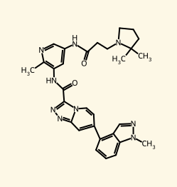 Cc1ncc(NC(=O)CCN2CCCC2(C)C)cc1NC(=O)c1nnc2cc(-c3cccc4c3cnn4C)ccn12